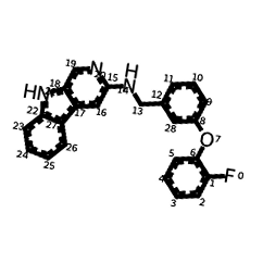 Fc1ccccc1Oc1cccc(CNc2cc3c(cn2)[nH]c2ccccc23)c1